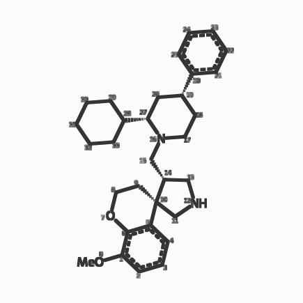 COc1cccc2c1OCC[C@]21CNC[C@H]1CN1CC[C@@H](c2ccccc2)C[C@H]1C1CCCCC1